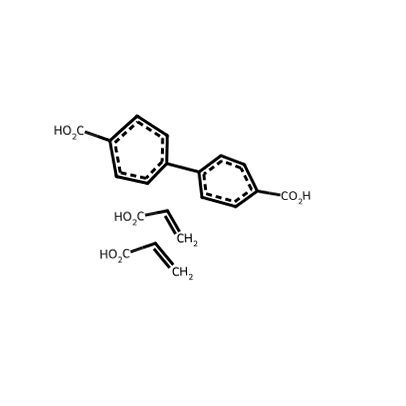 C=CC(=O)O.C=CC(=O)O.O=C(O)c1ccc(-c2ccc(C(=O)O)cc2)cc1